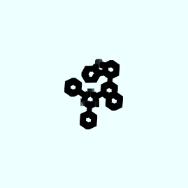 c1ccc(-c2nc(-c3ccccc3)nc(-c3cc(-c4cccc5oc6ccccc6c45)cc4ccccc34)n2)cc1